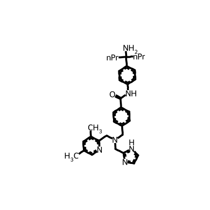 CCCC(N)(CCC)c1ccc(NC(=O)c2ccc(CN(Cc3ncc[nH]3)Cc3ncc(C)cc3C)cc2)cc1